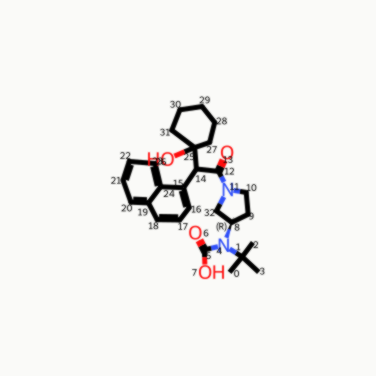 CC(C)(C)N(C(=O)O)[C@@H]1CCN(C(=O)C(c2cccc3ccccc23)C2(O)CCCCC2)C1